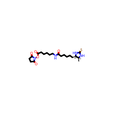 C[C@@H]1NC(=S)N[C@@H]1CCCCCC(=O)NCCCCCC(=O)ON1C(=O)CCC1=O